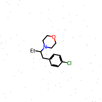 CCC(Cc1ccc(Cl)cc1)N1CCOCC1